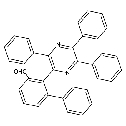 O=Cc1cccc(-c2ccccc2)c1-c1nc(-c2ccccc2)c(-c2ccccc2)nc1-c1ccccc1